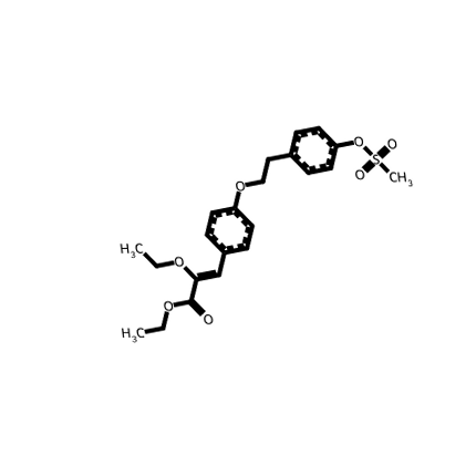 CCOC(=O)C(=Cc1ccc(OCCc2ccc(OS(C)(=O)=O)cc2)cc1)OCC